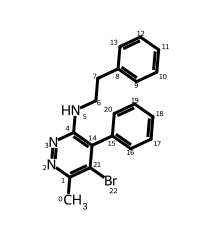 Cc1nnc(NCCc2ccccc2)c(-c2ccccc2)c1Br